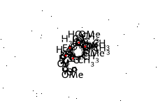 CC[C@H]1OC(=O)C(C)[C@@H](O[C@H]2CC(C)(OC)[C@@H](O)C(C)O2)[C@H](C)[C@@H](OC2C[C@@H](N(C)C)C[C@@H](C)O2)[C@](C)(OC)C[C@@H](C)C(=O)C(C)[C@H]2[C@H](SCCN(C(=O)c3ccncc3)c3ccc(OC)c(OC4CCCC4)c3)C(=O)O[C@]12C